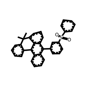 CC1(C)c2ccccc2-c2c3ccccc3c(-c3cccc(S(=O)(=O)c4ccccc4)c3)c3cccc1c23